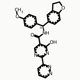 COc1ccc([C@H](NC(=O)c2cnc(-c3cccnn3)nc2O)c2ccc3c(c2)CCO3)cc1